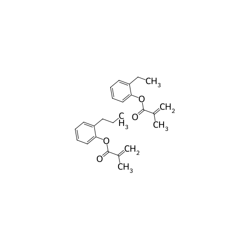 C=C(C)C(=O)Oc1ccccc1CC.C=C(C)C(=O)Oc1ccccc1CCC